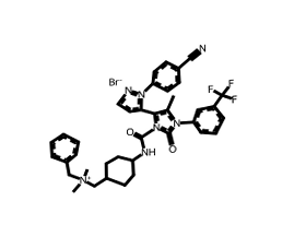 Cc1c(-c2ccnn2-c2ccc(C#N)cc2)n(C(=O)NC2CCC(C[N+](C)(C)Cc3ccccc3)CC2)c(=O)n1-c1cccc(C(F)(F)F)c1.[Br-]